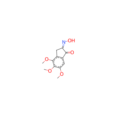 COc1cc2c(c(OC)c1OC)C/C(=N/O)C2=O